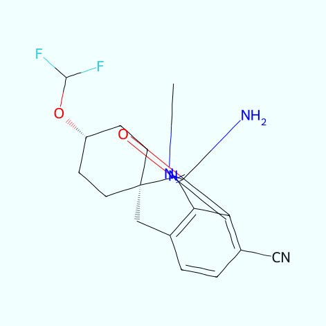 CN1C(=O)C2(N=C1N)c1cc(C#N)ccc1C[C@]21CC[C@@H](OC(F)F)CC1